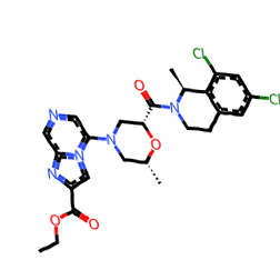 CCOC(=O)c1cn2c(N3C[C@@H](C)O[C@@H](C(=O)N4CCc5cc(Cl)cc(Cl)c5[C@@H]4C)C3)cncc2n1